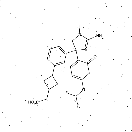 CN1CC(C2=CC=C(OC(F)F)CC2=O)(c2cccc(C3CC(CC(=O)O)C3)c2)N=C1N